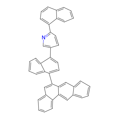 c1ccc2cc3c(cc2c1)c(-c1ccc(-c2ccc(-c4cccc5ccccc45)nc2)c2ccccc12)cc1ccccc13